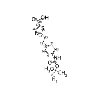 CC(C)(C)OC(=O)Nc1ccc(CCc2ncc(C(=O)O)s2)cc1